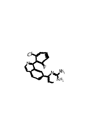 CC=C(N=C(N)N)c1ccc2ccnc(-c3c(F)cccc3Cl)c2c1